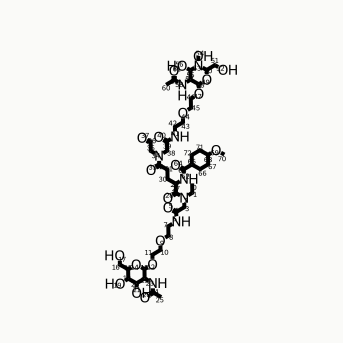 CCN(CC(=O)NCCOCCOC1OC(CO)C(O)C(O)C1NC(C)=O)C(=O)C(CCC(=O)N(CC=O)CC(=O)NCCOCCOC1OC(CO)N(O)C(O)C1NC(C)=O)NC(=O)C1CCC(OC)CC1